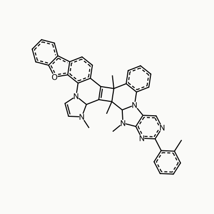 Cc1ccccc1-c1ncc2c(n1)N(C)C1N2c2ccccc2C2(C)C3=C(C4N(C)C=CN4c4c3ccc3c4oc4ccccc43)C12C